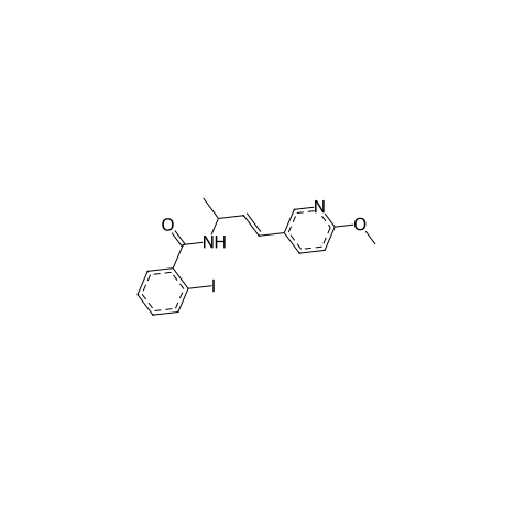 COc1ccc(/C=C/C(C)NC(=O)c2ccccc2I)cn1